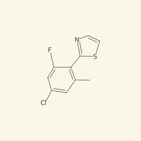 Cc1cc(Cl)cc(F)c1-c1nccs1